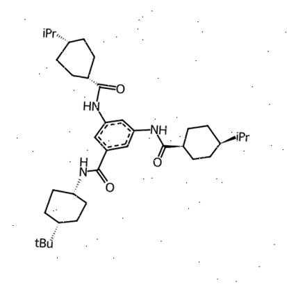 CC(C)[C@H]1CC[C@@H](C(=O)Nc2cc(NC(=O)[C@H]3CC[C@@H](C(C)C)CC3)cc(C(=O)N[C@H]3CC[C@@H](C(C)(C)C)CC3)c2)CC1